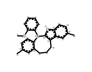 COc1ccccc1N1c2ccc(C)cc2CCCc2c1oc1ccc(C)cc21